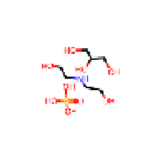 O=P(O)(O)O.OCC(O)CO.OCCNCCO